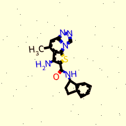 Cc1cc2nncn2c2sc(C(=O)NC3CCc4ccccc43)c(N)c12